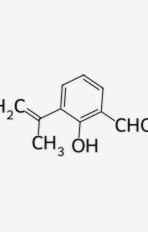 C=C(C)c1cccc(C=O)c1O